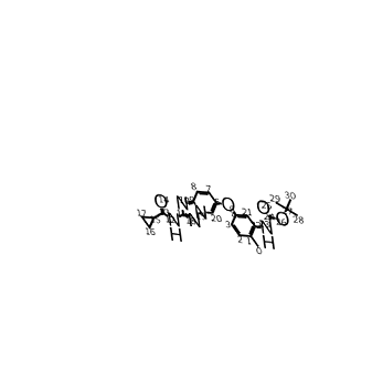 Cc1ccc(Oc2ccc3nc(NC(=O)C4CC4)nn3c2)cc1NC(=O)OC(C)(C)C